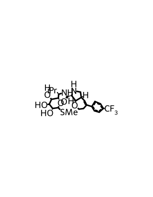 CSC1O[C@H]([C@H](NC(=O)[C@H]2NC[C@@H]3C=C(c4ccc(C(F)(F)F)cc4)CCO[C@@H]23)C(C)C)C(O)C(O)[C@H]1O